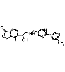 Cc1c(C(O)CNCc2cnc(-n3cnc(C(F)(F)F)c3)nc2)ccc2c1COC2=O